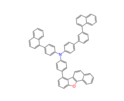 c1cc(-c2ccc(N(c3ccc(-c4cccc5ccccc45)cc3)c3ccc(-c4cccc5oc6c7ccccc7ccc6c45)cc3)cc2)cc(-c2cccc3ccccc23)c1